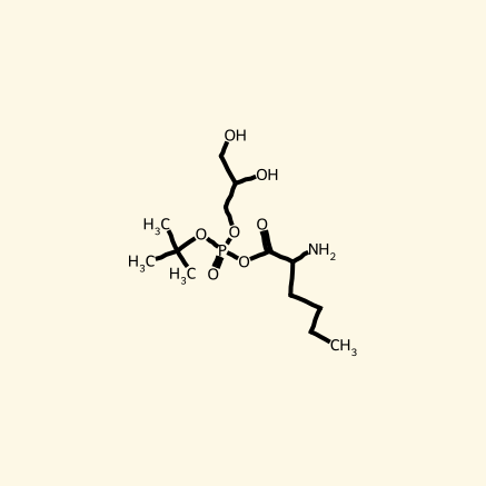 CCCCC(N)C(=O)OP(=O)(OCC(O)CO)OC(C)(C)C